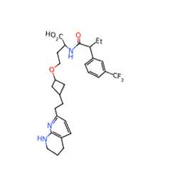 CCC(C(=O)NC(CCOC1CC(CCc2ccc3c(n2)NCCC3)C1)C(=O)O)c1cccc(C(F)(F)F)c1